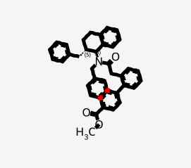 COC(=O)c1ccc(-c2ccccc2CC(=O)N(Cc2ccccc2)[C@@H]2c3ccccc3CC[C@H]2Cc2ccccc2)cc1